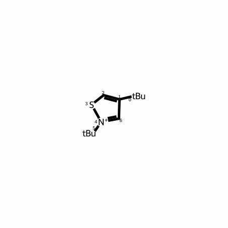 CC(C)(C)c1cs[n+](C(C)(C)C)c1